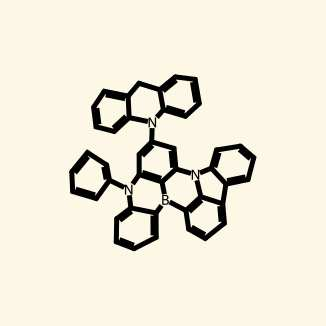 c1ccc(N2c3ccccc3B3c4c2cc(N2c5ccccc5Cc5ccccc52)cc4-n2c4ccccc4c4cccc3c42)cc1